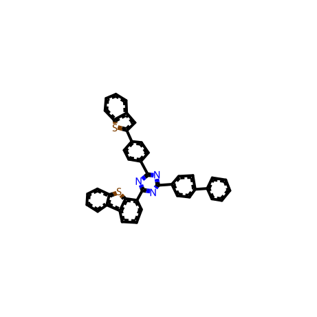 c1ccc(-c2ccc(-c3nc(-c4ccc(-c5cc6ccccc6s5)cc4)nc(-c4cccc5c4sc4ccccc45)n3)cc2)cc1